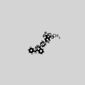 COC(=O)c1cnc(N2CCN(C3=NN=C(Cc4ccccc4)C4=CC=CCC43)CC2)cc1C(F)(F)F